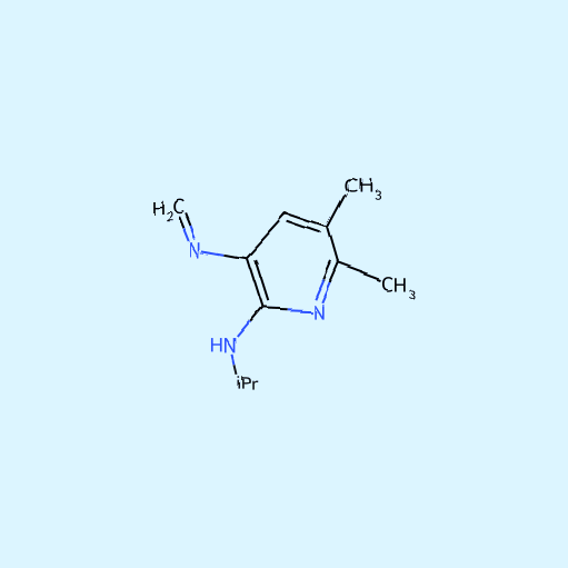 C=Nc1cc(C)c(C)nc1NC(C)C